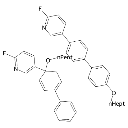 CCCCCCCOc1ccc(-c2ccc(-c3ccc(F)nc3)cc2)cc1.CCCCCOC1(c2ccc(F)nc2)C=CC(c2ccccc2)=CC1